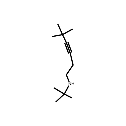 CC(C)(C)C#CCCNC(C)(C)C